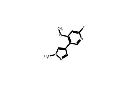 CNc1cc(Cl)ncc1-c1cnn(C)c1